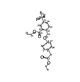 CCOC(=O)Cc1ccc(OCc2ccc(C(F)(F)F)cc2C(=O)OCC)cc1